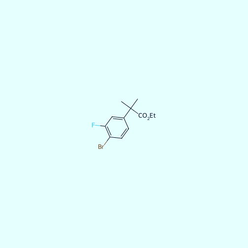 CCOC(=O)C(C)(C)c1ccc(Br)c(F)c1